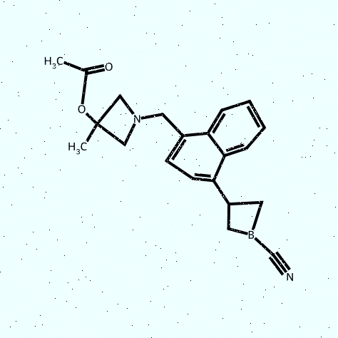 CC(=O)OC1(C)CN(Cc2ccc(C3CB(C#N)C3)c3ccccc23)C1